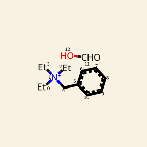 CC[N+](CC)(CC)Cc1ccccc1.O=CO